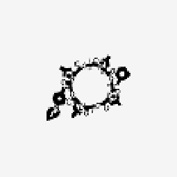 CC(C)C[C@H]1C(=O)O[C@H](Cc2ccc(N3CC4CC(C3)N4)cc2)C(=O)N(C)[C@@H](CC(C)C)C(=O)O[C@H](C)C(=O)N(C)[C@@H](CC(C)C)C(=O)O[C@H](Cc2ccccc2)C(=O)N(C)[C@@H](CC(C)C)C(=O)O[C@H](C)C(=O)N1C